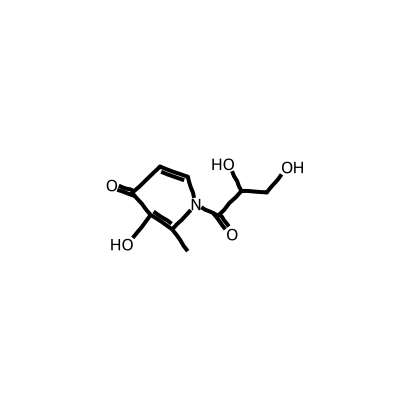 Cc1c(O)c(=O)ccn1C(=O)C(O)CO